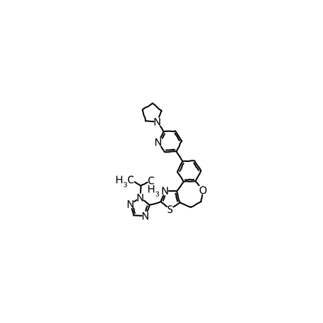 CC(C)n1ncnc1-c1nc2c(s1)CCOc1ccc(-c3ccc(N4CCCC4)nc3)cc1-2